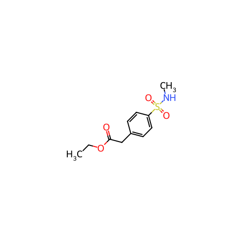 CCOC(=O)Cc1ccc(S(=O)(=O)NC)cc1